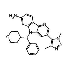 Cc1nnn(C)c1-c1cnc2c3ccc(N)cc3n([C@H](c3ccccc3)C3CCOCC3)c2c1